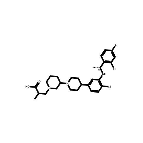 CC(CN1CCCC(N2CCC(c3ccc(Cl)c(N[C@H](C)c4ccc(Cl)cc4Cl)c3)CC2)C1)C(=O)O